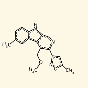 COCc1c(-c2cc(C)on2)ncc2[nH]c3ccc(C)cc3c12